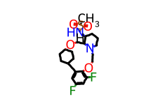 CS(=O)(=O)NC1CCCN2CCOc3c(F)cc(F)cc3C3CCC(CC3)OC[C@@H]12